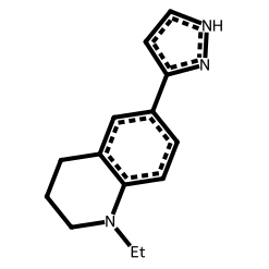 CCN1CCCc2cc(-c3cc[nH]n3)ccc21